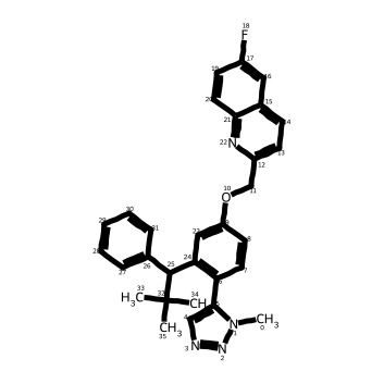 Cn1nncc1-c1ccc(OCc2ccc3cc(F)ccc3n2)cc1C(c1ccccc1)C(C)(C)C